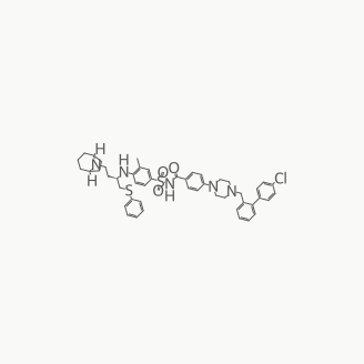 Cc1cc(S(=O)(=O)NC(=O)c2ccc(N3CCN(Cc4ccccc4-c4ccc(Cl)cc4)CC3)cc2)ccc1N[C@H](CCN1[C@@H]2CCC[C@H]1CC2)CSc1ccccc1